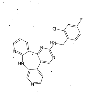 Fc1ccc(CNc2ncc3c(n2)-c2cccnc2Nc2cnccc2-3)c(Cl)c1